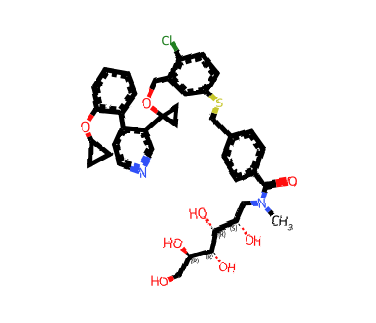 CN(C[C@H](O)[C@@H](O)[C@H](O)[C@H](O)CO)C(=O)c1ccc(CSc2ccc(Cl)c(COC3(c4cnccc4-c4ccccc4OC4CC4)CC3)c2)cc1